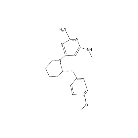 CNc1cc(N2CCCC[C@H]2Cc2ccc(OC)cc2)nc(N)n1